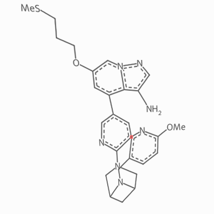 COc1ccc(CN2C3CC2CN(c2ccc(-c4cc(OCCCSC)cn5ncc(N)c45)cn2)C3)cn1